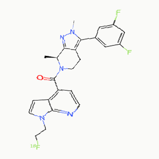 C[C@H]1c2nn(C)c(-c3cc(F)cc(F)c3)c2CCN1C(=O)c1ccnc2c1ccn2CC[18F]